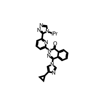 CC(C)n1cnnc1-c1cccc(-n2nc(-n3cnc(C4CC4)c3)c3ccccc3c2=O)n1